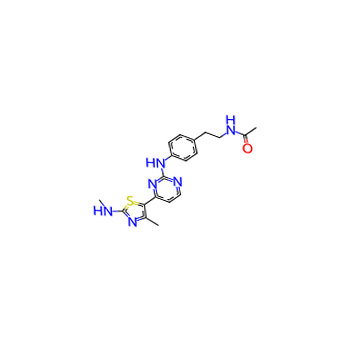 CNc1nc(C)c(-c2ccnc(Nc3ccc(CCNC(C)=O)cc3)n2)s1